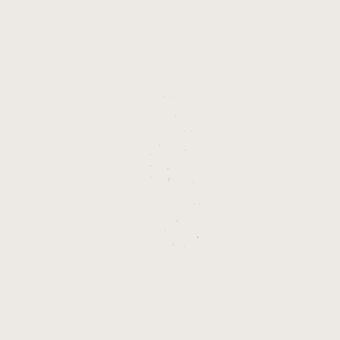 O=S(=O)(Nc1cscn1)c1cc(C(F)(F)F)c(NC2CCN(Cc3ccccc3)C2)cn1